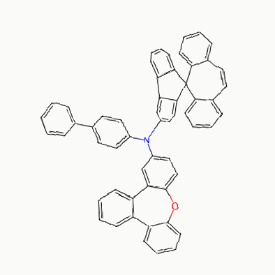 C1=Cc2ccccc2C2(c3ccccc31)c1ccccc1-c1cc(N(c3ccc(-c4ccccc4)cc3)c3ccc4c(c3)-c3ccccc3-c3ccccc3O4)ccc12